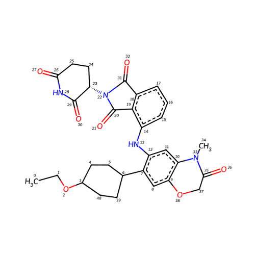 CCOC1CCC(c2cc3c(cc2Nc2cccc4c2C(=O)N([C@H]2CCC(=O)NC2=O)C4=O)N(C)C(=O)CO3)CC1